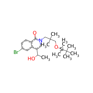 CC(O)c1cn(CC(C)(C)CO[Si](C)(C)C(C)(C)C)c(=O)c2ccc(Br)cc12